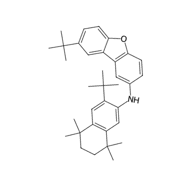 CC(C)(C)c1ccc2oc3ccc(Nc4cc5c(cc4C(C)(C)C)C(C)(C)CCC5(C)C)cc3c2c1